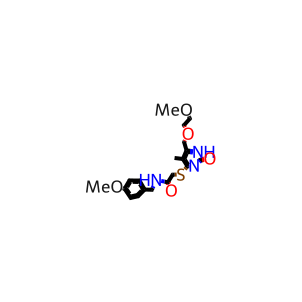 COCCOCc1[nH]c(=O)nc(SCC(=O)NCc2ccc(OC)cc2)c1C